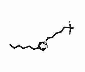 CCCCCCc1cnn(CCCCCC(F)(F)F)c1